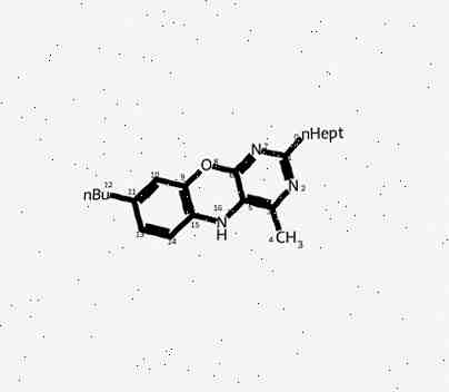 CCCCCCCc1nc(C)c2c(n1)Oc1cc(CCCC)ccc1N2